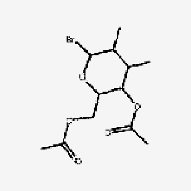 CC(=O)OCC1OC(Br)C(C)C(C)C1OC(C)=O